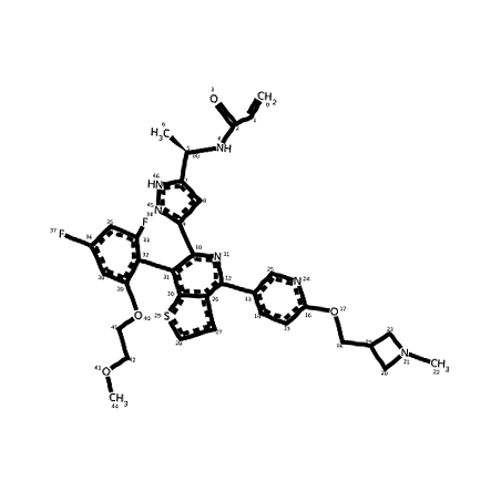 C=CC(=O)N[C@H](C)c1cc(-c2nc(-c3ccc(OCC4CN(C)C4)nc3)c3ccsc3c2-c2c(F)cc(F)cc2OCCOC)n[nH]1